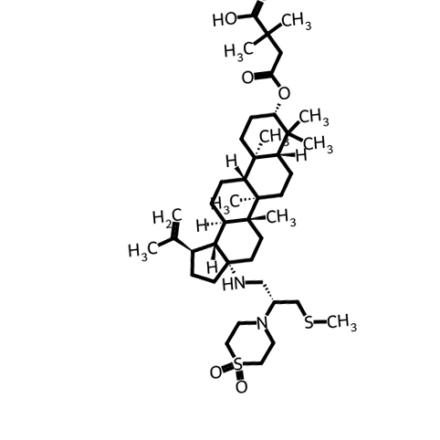 C=C(C)[C@@H]1CC[C@]2(NC[C@H](CSC)N3CCS(=O)(=O)CC3)CC[C@]3(C)[C@H](CC[C@@H]4[C@@]5(C)CC[C@H](OC(=O)CC(C)(C)C(=O)O)C(C)(C)[C@@H]5CC[C@]43C)[C@@H]12